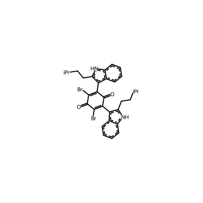 CC(C)CCc1[nH]c2ccccc2c1C1=C(Br)C(=O)C(Br)=C(c2c(CCC(C)C)[nH]c3ccccc23)C1=O